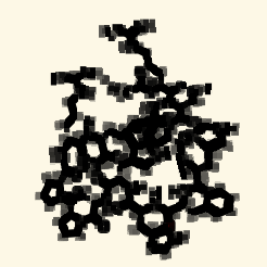 CC(=O)N[C@H](CCCNC(=N)N)C(=O)N[C@@H](CS)C(=O)N1CCC[C@H]1C(=O)N[C@@H](Cc1c[nH]cn1)C(=O)N[C@H](Cc1ccccc1)C(=O)N[C@@H](Cc1c[nH]cn1)C(=O)N[C@@H](Cc1c[nH]c2ccccc12)C(=O)N[C@@H](CS)C(=O)N1CCC[C@H]1C(=O)N1CCC[C@H]1C(=O)N[C@H](CCCNC(=N)N)C(=O)N[C@H](CCCNC(=N)N)C(N)=O